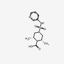 C[C@@H]1CN(S(=O)(=O)Nc2cccnc2)C[C@H](C)N1C(=O)O